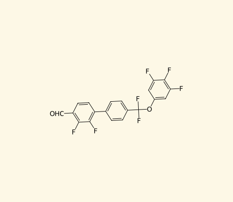 O=Cc1ccc(-c2ccc(C(F)(F)Oc3cc(F)c(F)c(F)c3)cc2)c(F)c1F